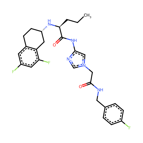 CCC[C@H](N[C@H]1CCc2cc(F)cc(F)c2C1)C(=O)Nc1cn(CC(=O)NCc2ccc(F)cc2)cn1